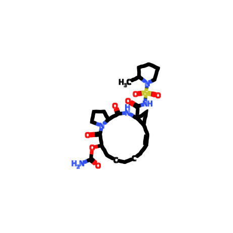 CC1CCCCN1S(=O)(=O)NC(=O)C12CC1/C=C\CCCCCC(OC(N)=O)C(=O)N1CCCC1C(=O)N2